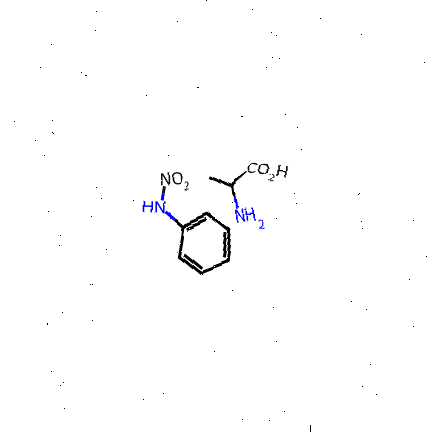 CC(N)C(=O)O.O=[N+]([O-])Nc1ccccc1